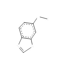 CCOc1ccc2c(c1)[N]C=N2